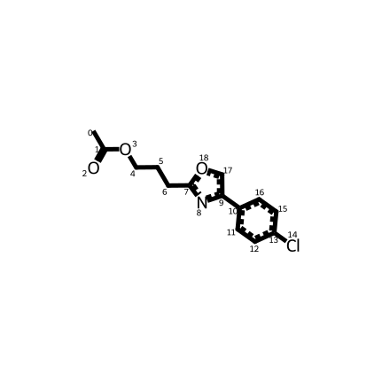 CC(=O)OCCCc1nc(-c2ccc(Cl)cc2)co1